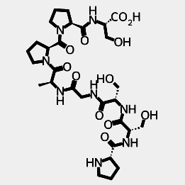 C[C@H](NC(=O)CNC(=O)[C@H](CO)NC(=O)[C@H](CO)NC(=O)[C@@H]1CCCN1)C(=O)N1CCC[C@H]1C(=O)N1CCC[C@H]1C(=O)N[C@@H](CO)C(=O)O